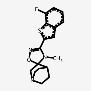 CN1C(c2cc3cccc(F)c3s2)=NOC12CN1CCC2CC1